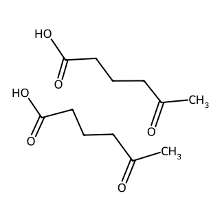 CC(=O)CCCC(=O)O.CC(=O)CCCC(=O)O